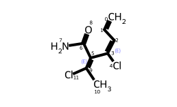 C=C/C=C(Cl)\C(C(N)=O)=C(/C)Cl